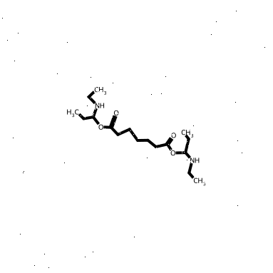 CCNC(CC)OC(=O)CCCCCC(=O)OC(CC)NCC